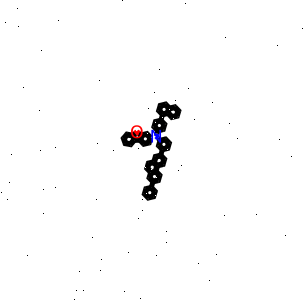 c1ccc(-c2ccc3c(ccc4cc(-c5cccc(N(c6ccc(-c7cccc8ccccc78)cc6)c6ccc7c(c6)oc6ccccc67)c5)ccc43)c2)cc1